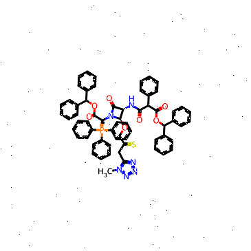 Cn1nnnc1CC(=S)CO[C@@H]1[C@H](NC(=O)C(C(=O)OC(c2ccccc2)c2ccccc2)c2ccccc2)C(=O)N1C(C(=O)OC(c1ccccc1)c1ccccc1)=P(c1ccccc1)(c1ccccc1)c1ccccc1